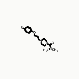 CN(C)C(=O)N1CCN(CCCOc2ccc(F)cc2)CC1